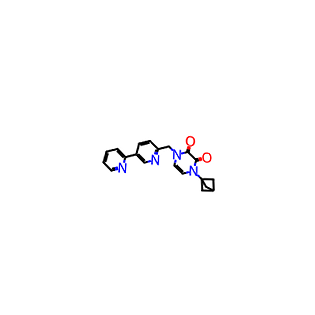 O=c1c(=O)n(C23CC(C2)C3)ccn1Cc1ccc(-c2ccccn2)cn1